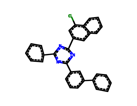 Clc1cc(-c2nc(-c3ccccc3)nc(-c3cccc(-c4ccccc4)c3)n2)cc2ccccc12